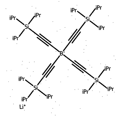 CC(C)[Si](C#C[B-](C#C[Si](C(C)C)(C(C)C)C(C)C)(C#C[Si](C(C)C)(C(C)C)C(C)C)C#C[Si](C(C)C)(C(C)C)C(C)C)(C(C)C)C(C)C.[Li+]